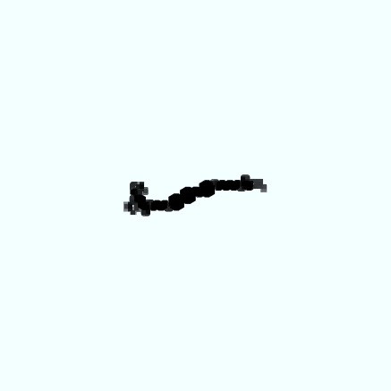 C=CC(=O)OCCCCCCOc1ccc(/C=C/c2ccc(-c3ccc(OCCCCOC(=O)C(=C)CC(=O)OCC)cc3)cc2)cc1